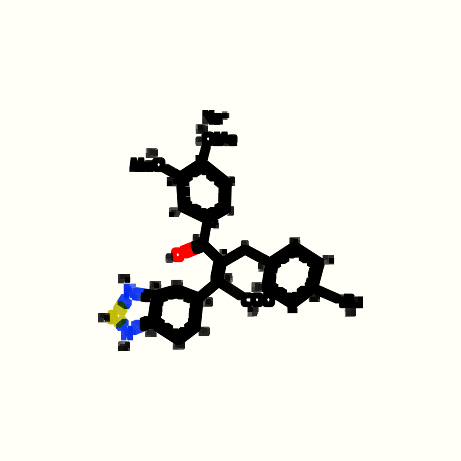 COc1ccc(C(=O)C(Cc2ccc(C(C)(C)C)cc2)=C(C(=O)[O-])c2ccc3nsnc3c2)cc1OC.[Na+]